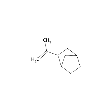 C=C(C)C1CC2CCC1C2